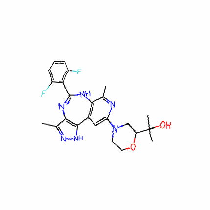 Cc1n[nH]c2c1N=C(c1c(F)cccc1F)Nc1c-2cc(N2CCOC(C(C)(C)O)C2)nc1C